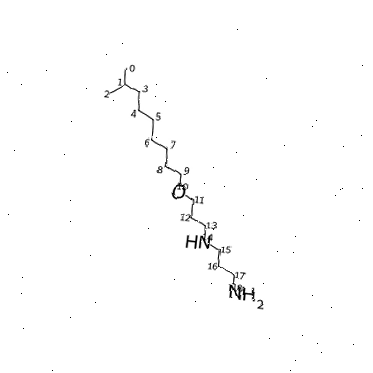 CC(C)CCCCCCCOCCCNCCCN